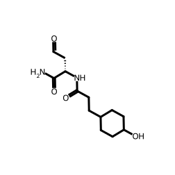 NC(=O)[C@H](CC=O)NC(=O)CCC1CCC(O)CC1